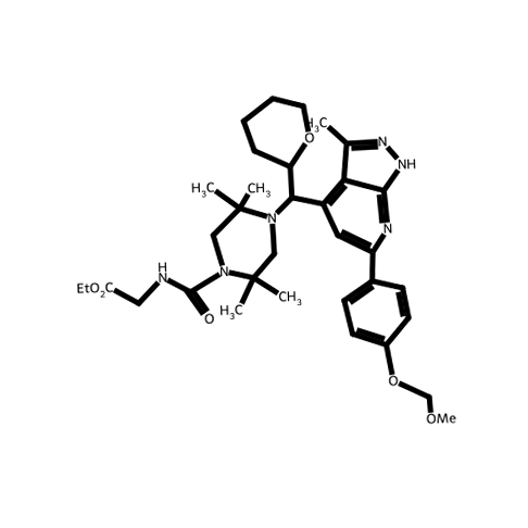 CCOC(=O)CNC(=O)N1CC(C)(C)N(C(c2cc(-c3ccc(OCOC)cc3)nc3[nH]nc(C)c23)C2CCCCO2)CC1(C)C